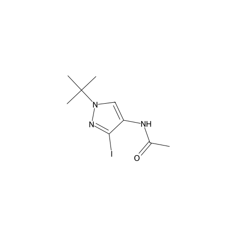 CC(=O)Nc1cn(C(C)(C)C)nc1I